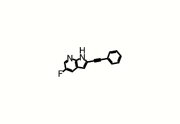 Fc1cnc2[nH]c(C#Cc3ccccc3)cc2c1